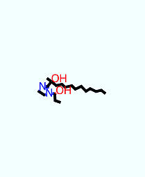 CCCCCCCCCCCC(C)(O)C1=NCCN1C(O)CC